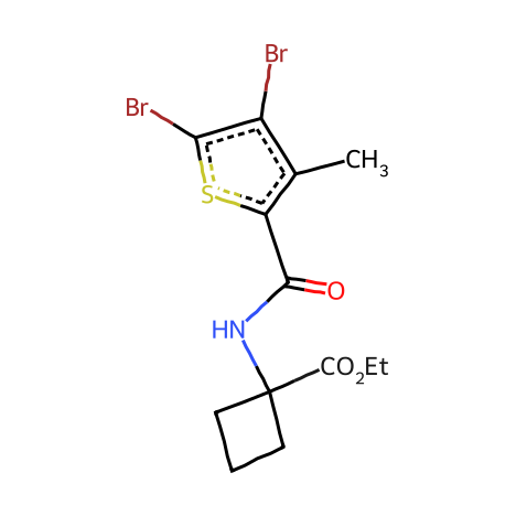 CCOC(=O)C1(NC(=O)c2sc(Br)c(Br)c2C)CCC1